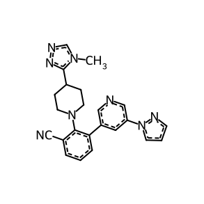 Cn1cnnc1C1CCN(c2c(C#N)cccc2-c2cncc(-n3cccn3)c2)CC1